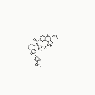 CN(C(=O)c1ccc2nc(N)c3cnn(C)c3c2c1)C1CCCc2oc(-c3cnn(C)c3)cc21